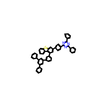 c1ccc(-c2cc(-c3ccccc3)cc(-c3cccc(-c4cc(-c5ccc(-c6nc(-c7ccccc7)nc(-c7ccccc7)n6)cc5)cc5sc6ccccc6c45)c3)c2)cc1